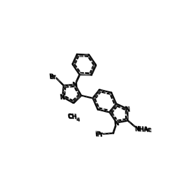 C.CC(=O)Nc1nc2ccc(-c3cnc(Br)n3-c3ccccc3)cc2n1CC(C)C